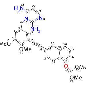 COc1cc(CN2C(N)=NC=CC2N)cc(C#Cc2ccc3c(OC(OC)OC)cccc3c2)c1OC